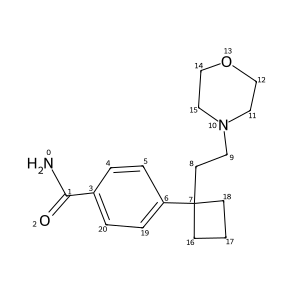 NC(=O)c1ccc(C2(CCN3CCOCC3)CCC2)cc1